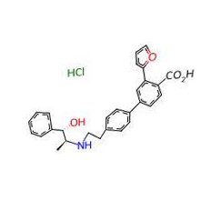 C[C@H](NCCc1ccc(-c2ccc(C(=O)O)c(-c3ccco3)c2)cc1)[C@@H](O)c1ccccc1.Cl